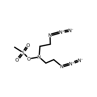 CS(=O)(=O)ON(CCN=[N+]=[N-])CCN=[N+]=[N-]